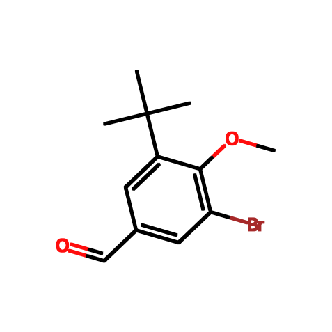 COc1c(Br)cc(C=O)cc1C(C)(C)C